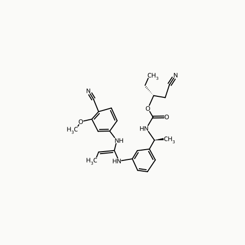 C/C=C(\Nc1cccc([C@H](C)NC(=O)O[C@H](CC)CC#N)c1)Nc1ccc(C#N)c(OC)c1